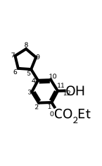 CCOC(=O)c1ccc(C2CCCC2)cc1O